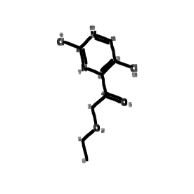 CCOCC(=O)c1nc(Cl)ncc1Cl